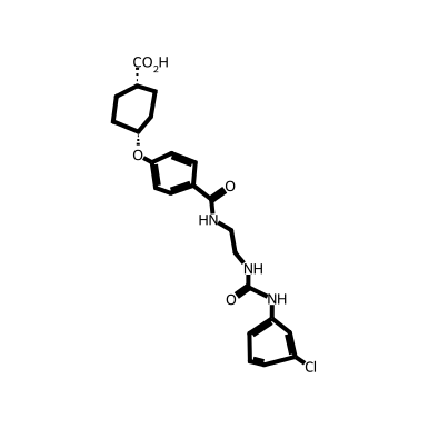 O=C(NCCNC(=O)c1ccc(O[C@H]2CC[C@@H](C(=O)O)CC2)cc1)Nc1cccc(Cl)c1